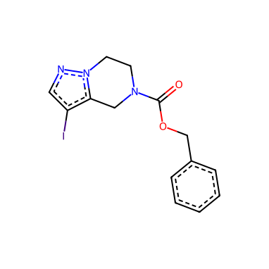 O=C(OCc1ccccc1)N1CCn2ncc(I)c2C1